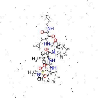 CCCNC(=O)C(=O)[C@H](CC1CC1)NC(=O)[C@@H]1[C@H]2CCC[C@H]2CN1C(=O)[C@@H](NC(=O)NC1(CS(=O)(=O)N(C)C)CCCCC1)C(C)(C)C